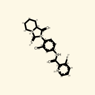 O=C(Nc1ccc(N2C(=O)C3CCCCN3C2=S)c(Cl)c1)c1ncccc1F